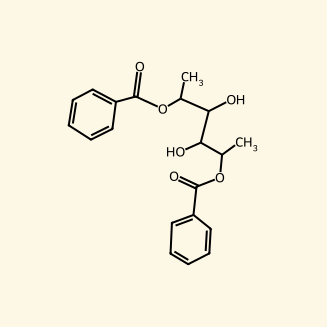 CC(OC(=O)c1ccccc1)C(O)C(O)C(C)OC(=O)c1ccccc1